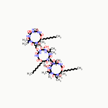 CCCCCCCCCC[C@H]1OC(=O)CNC(=O)[C@H](C)NC(=O)[C@H](CO)NC(=O)[C@H]([C@@H](C)CC)NC(=O)[C@H](CC(C)COC[C@@H]2NC(=O)[C@H](CO)NC(=O)[C@H]([C@@H](C)CC)NC(=O)[C@H](CCC(C)O[C@@H](C)[C@@H]3NC(=O)[C@H](CO)NC(=O)[C@H]([C@@H](C)CC)NC(=O)[C@H](CCC)N(C)C(=O)[C@H](C)[C@@H](CCCCCCCCCC)OC(=O)CNC3=O)N(C)C(=O)[C@H](C)[C@@H](CCCCCCCCCC)OC(=O)CNC2=O)N(C)C(=O)[C@@H]1C